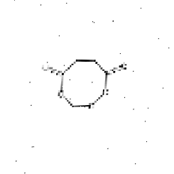 O=C1CCC(=O)OOCO1